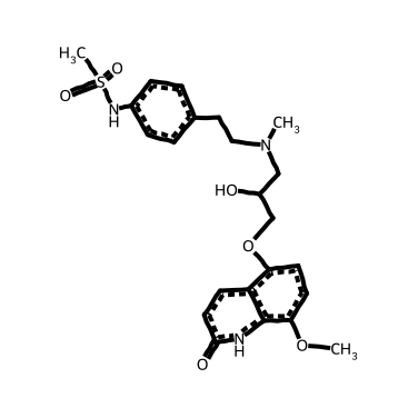 COc1ccc(OCC(O)CN(C)CCc2ccc(NS(C)(=O)=O)cc2)c2ccc(=O)[nH]c12